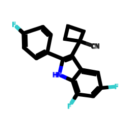 N#CC1(c2c(-c3ccc(F)cc3)[nH]c3c(F)cc(F)cc23)CCC1